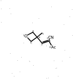 CC(=O)/C(C#N)=C/C1(C)COC1